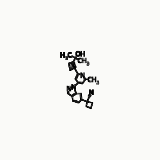 Cc1cc(-n2ncc3ccc(C4(C#N)CCC4)cc32)cc(N2CC3(C(C)(C)O)CC2C3)n1